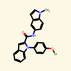 CCOc1ccc(-n2c(C(=O)Nc3ccc4c(ccn4C)c3)cc3ccccc32)cc1